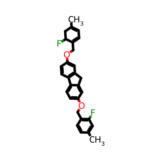 CC1=CC=C(COc2ccc3c(c2)Cc2cc(OCc4ccc(C)cc4F)ccc2-3)C(F)C1